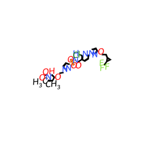 CC1(C)CC(OCCn2ccc(S(=O)(=O)NC(=O)c3ccc(-n4ccc(OCCC5CC5C(F)(F)F)n4)nc3Cl)n2)CN1C(=O)O